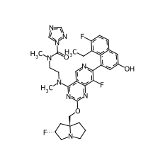 CCc1c(F)ccc2cc(O)cc(-c3ncc4c(N(C)CCN(C)C(=O)n5cncn5)nc(OC[C@@]56CCCN5C[C@H](F)C6)nc4c3F)c12